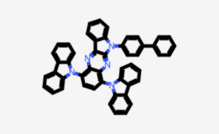 c1ccc(-c2ccc(-n3c4ccccc4c4nc5c(-n6c7ccccc7c7ccccc76)ccc(-n6c7ccccc7c7ccccc76)c5nc43)cc2)cc1